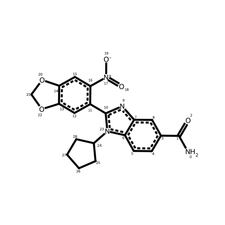 NC(=O)c1ccc2c(c1)nc(-c1cc3c(cc1[N+](=O)[O-])OCO3)n2C1CCCC1